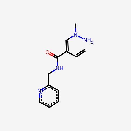 C=C/C(=C\N(C)N)C(=O)NCc1ccccn1